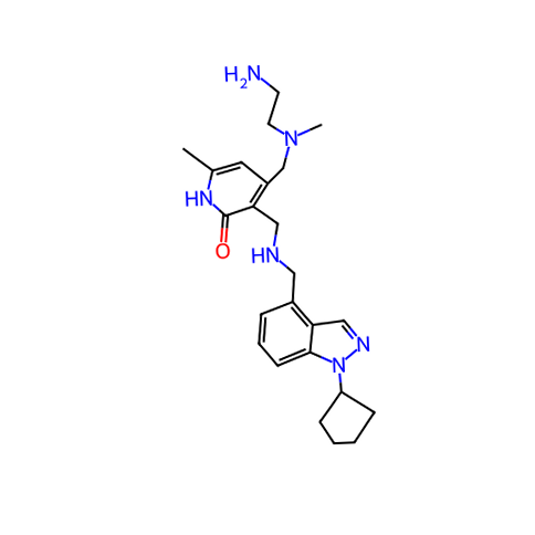 Cc1cc(CN(C)CCN)c(CNCc2cccc3c2cnn3C2CCCC2)c(=O)[nH]1